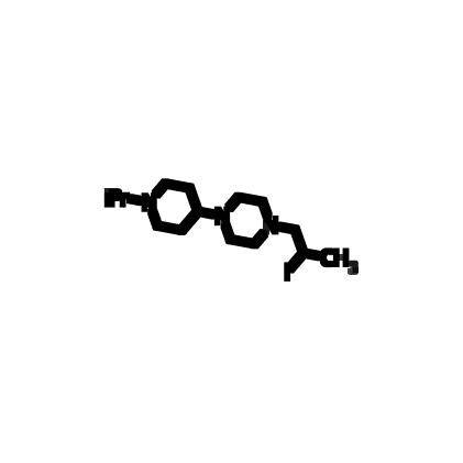 CC(I)CN1CCN(C2CCN(C(C)C)CC2)CC1